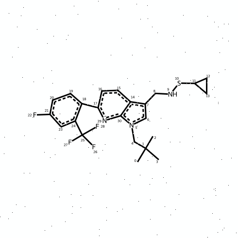 CC(C)(C)Cn1cc(CNSC2CC2)c2ccc(-c3ccc(F)cc3C(F)(F)F)nc21